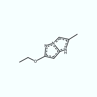 CCOc1cc2[nH]c(C)cn2n1